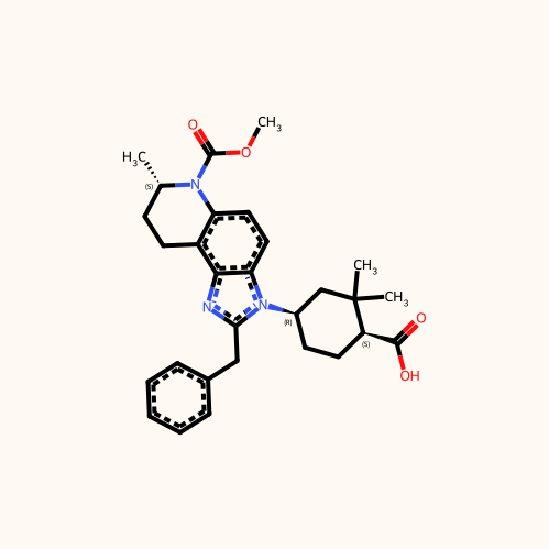 COC(=O)N1c2ccc3c(nc(Cc4ccccc4)n3[C@@H]3CC[C@H](C(=O)O)C(C)(C)C3)c2CC[C@@H]1C